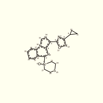 [O-][N+]1(c2nc3c(-c4nc(C5CC5)no4)ncn3c3ccccc23)CCSCC1